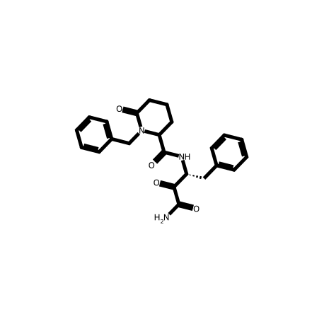 NC(=O)C(=O)[C@@H](Cc1ccccc1)NC(=O)C1CCCC(=O)N1Cc1ccccc1